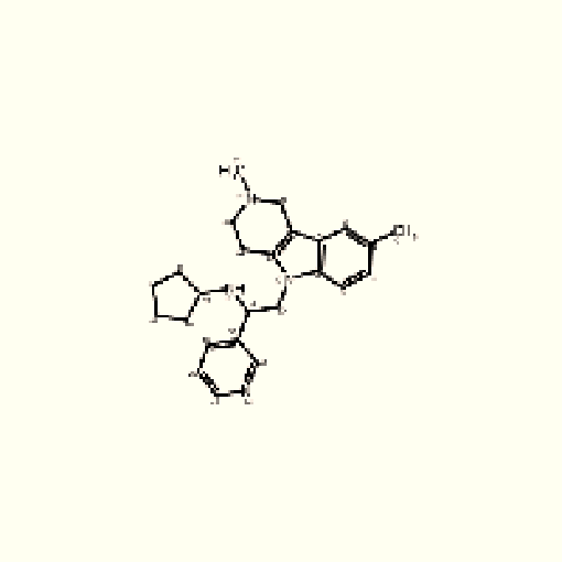 Cc1ccc2c(c1)c1c(n2CC(NC2CCCC2)c2cccnc2)CCN(C)C1